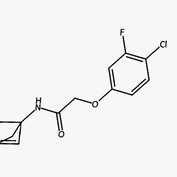 O=C(COc1ccc(Cl)c(F)c1)NC12C=C(C1)C2